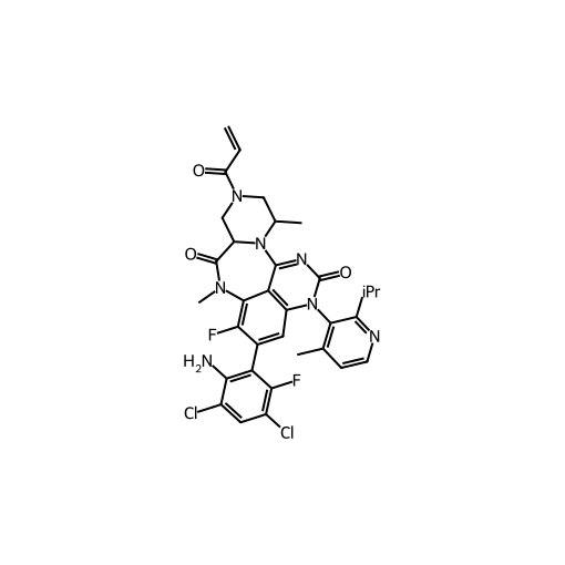 C=CC(=O)N1CC(C)N2c3nc(=O)n(-c4c(C)ccnc4C(C)C)c4cc(-c5c(N)c(Cl)cc(Cl)c5F)c(F)c(c34)N(C)C(=O)C2C1